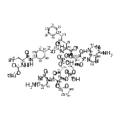 CC(C)C[C@H](NC(=O)OC(C)(C)C)C(=O)Nc1ccc(COC(=O)N[C@@H](CCCc2ccccc2)C(=O)O[C@H]2[C@@H](O)[C@H](n3cnc4c(N)ncnc43)O[C@@H]2COP(=O)(O)O[C@H]2[C@@H](OC3CCCO3)[C@H](n3ccc(N)nc3=O)O[C@@H]2COP(=O)(O)O)cc1